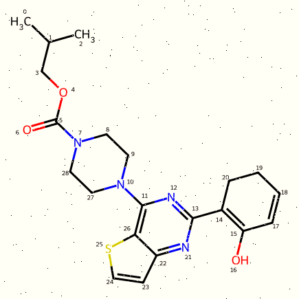 CC(C)COC(=O)N1CCN(c2nc(C3=C(O)C=CCC3)nc3ccsc23)CC1